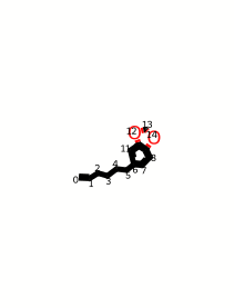 C=CCCCCc1ccc2c(c1)OCO2